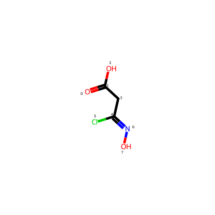 O=C(O)C/C(Cl)=N/O